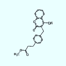 COC(=O)CCc1ccc(Cc2c(O)c3ccccc3oc2=O)cc1